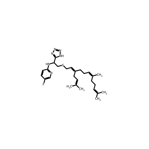 CC(C)=CCCC(C)=CCCC(=CCSCC(Nc1ccc(F)cn1)c1nnn[nH]1)CC=C(C)C